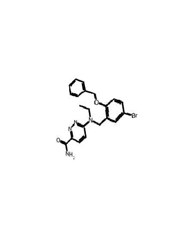 CCN(Cc1cc(Br)ccc1OCc1ccccc1)c1ccc(C(N)=O)nn1